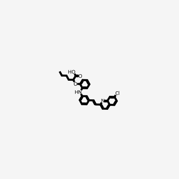 CCCCC(Oc1ccccc1Nc1cccc(C=Cc2ccc3ccc(Cl)cc3n2)c1)C(=O)O